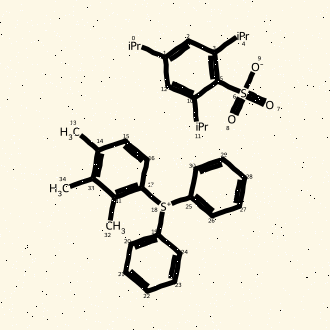 CC(C)c1cc(C(C)C)c(S(=O)(=O)[O-])c(C(C)C)c1.Cc1ccc([S+](c2ccccc2)c2ccccc2)c(C)c1C